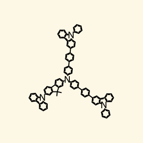 CC1(C)c2cc(N(c3ccc(-c4ccc(-c5ccc6c(c5)c5ccccc5n6-c5ccccc5)cc4)cc3)c3ccc(-c4ccc(-c5ccc6c(c5)c5ccccc5n6-c5ccccc5)cc4)cc3)ccc2-c2ccc(-n3c4ccccc4c4ccccc43)cc21